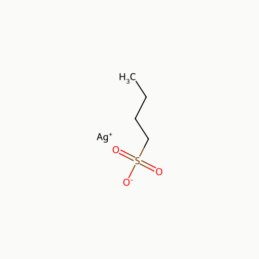 CCCCS(=O)(=O)[O-].[Ag+]